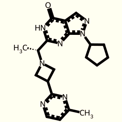 Cc1ccnc(C2CN([C@H](C)c3nc4c(cnn4C4CCCC4)c(=O)[nH]3)C2)n1